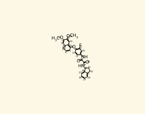 COc1cc2nccc(Oc3ccc(NC(=O)C(=O)N[C@@H]4CCc5ccccc54)cc3F)c2cc1OC